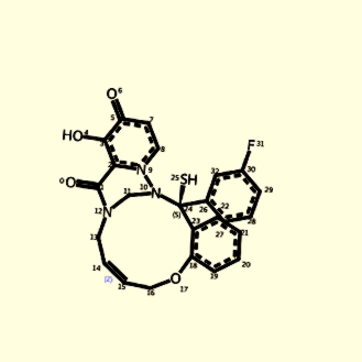 O=C1c2c(O)c(=O)ccn2N2CN1C/C=C\COc1ccccc1[C@@]2(S)c1cccc(F)c1